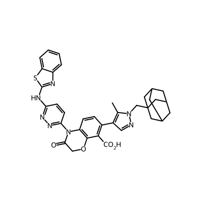 Cc1c(-c2ccc3c(c2C(=O)O)OCC(=O)N3c2ccc(Nc3nc4ccccc4s3)nn2)cnn1CC12CC3CC(CC(C3)C1)C2